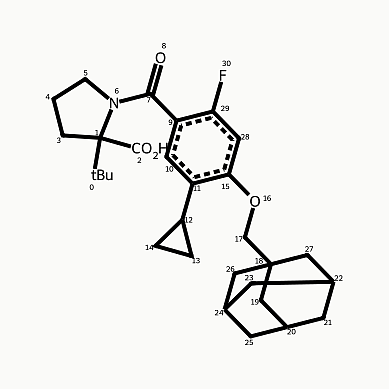 CC(C)(C)C1(C(=O)O)CCCN1C(=O)c1cc(C2CC2)c(OCC23CC4CC(CC(C4)C2)C3)cc1F